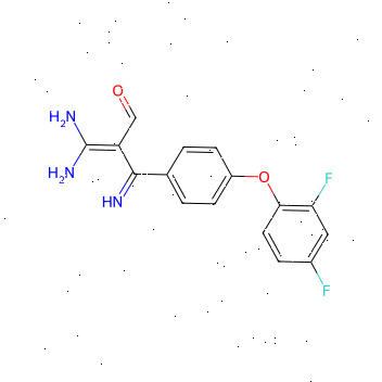 N=C(C(C=O)=C(N)N)c1ccc(Oc2ccc(F)cc2F)cc1